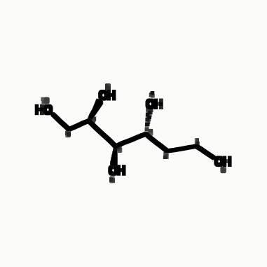 OCC[C@@H](O)[C@@H](O)[C@H](O)CO